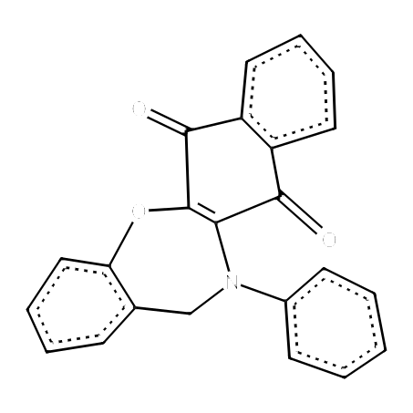 O=C1C2=C(C(=O)c3ccccc31)N(c1ccccc1)Cc1ccccc1O2